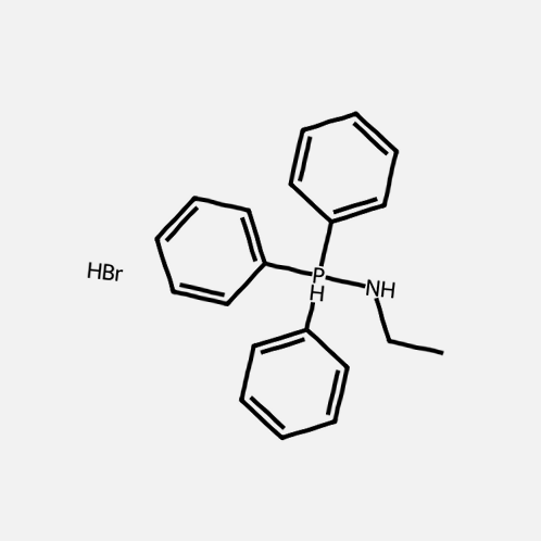 Br.CCN[PH](c1ccccc1)(c1ccccc1)c1ccccc1